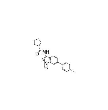 Cc1ccc(-c2ccc3c(NC(=O)C4CCCC4)n[nH]c3c2)cc1